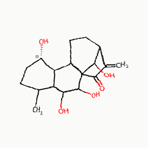 C=C1C(=O)C23C(O)C1CCC2C1C(C(C)CC[C@@H]1O)C(O)C3O